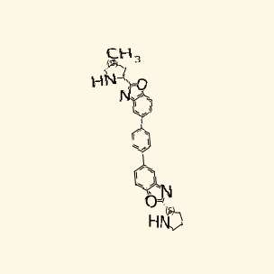 C[C@@H]1CNC(c2nc3cc(-c4ccc(-c5ccc6oc([C@@H]7CCCN7)nc6c5)cc4)ccc3o2)C1